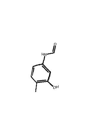 Cc1ccc(NC=O)cc1O